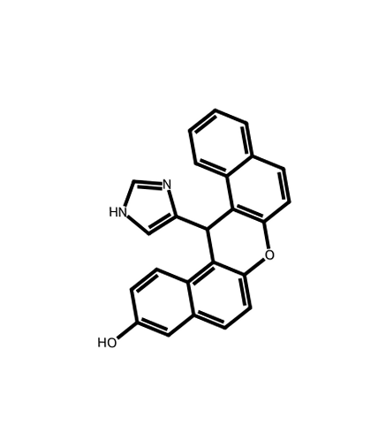 Oc1ccc2c3c(ccc2c1)Oc1ccc2ccccc2c1C3c1c[nH]cn1